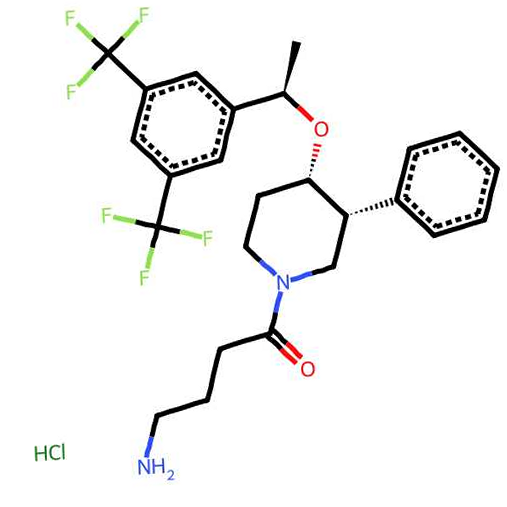 C[C@@H](O[C@H]1CCN(C(=O)CCCN)C[C@H]1c1ccccc1)c1cc(C(F)(F)F)cc(C(F)(F)F)c1.Cl